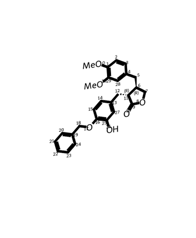 COc1ccc(C[C@H]2COC(=O)[C@@H]2Cc2ccc(OCc3ccccc3)c(O)c2)cc1OC